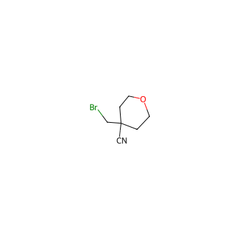 N#CC1(CBr)CCOCC1